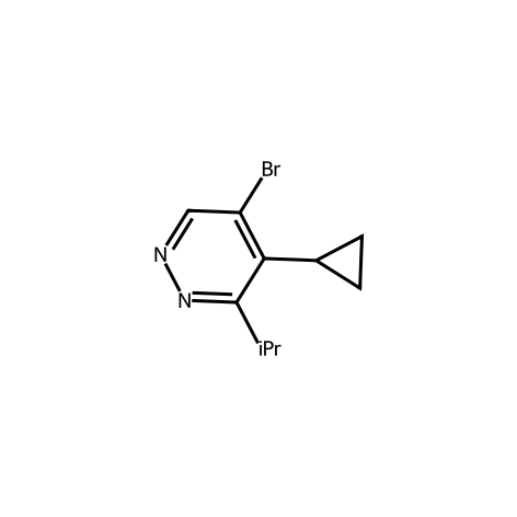 CC(C)c1nncc(Br)c1C1CC1